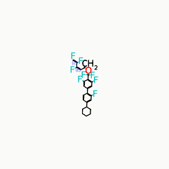 C=C(/C=C(F)\C(F)=C\F)OC(F)(F)c1c(F)cc(-c2ccc(C3CCCCC3)cc2F)cc1F